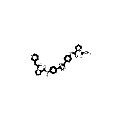 CC(=O)N1CCCC1C(=O)Nc1ccc(-c2nnc(-c3ccc(NC(=O)C4CCCN4C(=O)Cc4cccnc4)cc3)o2)cc1